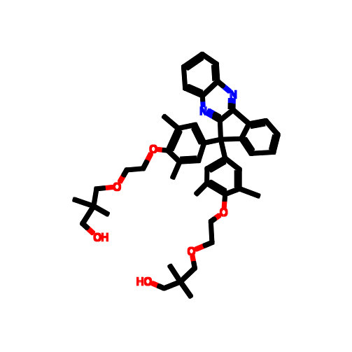 Cc1cc(C2(c3cc(C)c(OCCOCC(C)(C)CO)c(C)c3)c3ccccc3-c3nc4ccccc4nc32)cc(C)c1OCCOCC(C)(C)CO